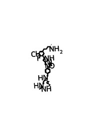 CSC[C@@H](CCNC(C)=N)NCc1ccc(-n2cc3cc(-c4cc(CCC[C@H](C)N)cc(Cl)c4F)[nH]c3nc2=O)cc1